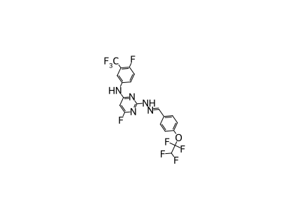 Fc1cc(Nc2ccc(F)c(C(F)(F)F)c2)nc(NN=Cc2ccc(OC(F)(F)C(F)F)cc2)n1